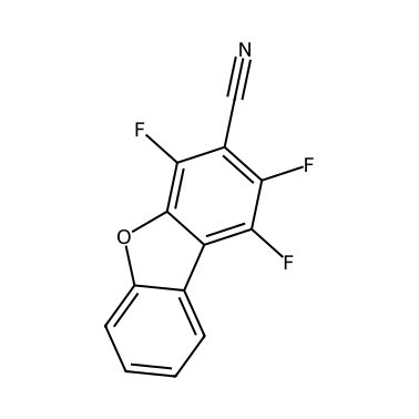 N#Cc1c(F)c(F)c2c(oc3ccccc32)c1F